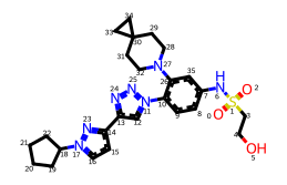 O=S(=O)(CCO)Nc1ccc(-n2cc(-c3ccn(C4CCCC4)n3)nn2)c(N2CCC3(CC2)CC3)c1